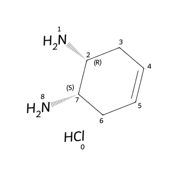 Cl.N[C@@H]1CC=CC[C@@H]1N